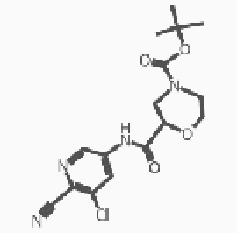 CC(C)(C)OC(=O)N1CCOC(C(=O)Nc2cnc(C#N)c(Cl)c2)C1